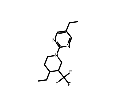 C[CH]C1CCN(c2ncc(CC)cn2)CC1C(F)(F)F